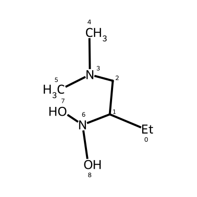 CCC(CN(C)C)N(O)O